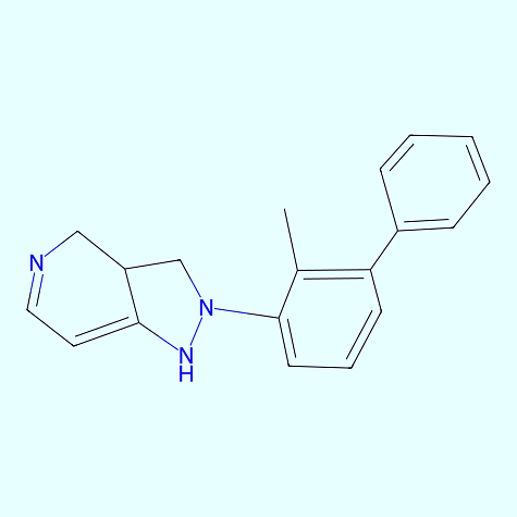 Cc1c(-c2ccccc2)cccc1N1CC2CN=CC=C2N1